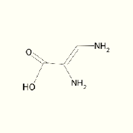 NC=C(N)C(=O)O